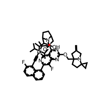 C=C1CN2C3(CC3)CCC2(COc2nc3c4c(nc(-c5cccc6ccc(F)c(C#C[Si](C(C)C)(C(C)C)C(C)C)c56)c(F)c4n2)OC(C)C2C4CCC(CN32)N4C(=O)O)C1